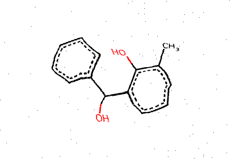 Cc1cccc(C(O)c2ccccc2)c1O